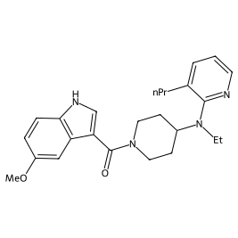 CCCc1cccnc1N(CC)C1CCN(C(=O)c2c[nH]c3ccc(OC)cc23)CC1